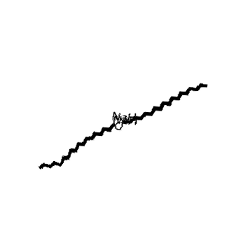 CCCCCCCCCCCCCCCCCCOCCCCCCCCCCCCCCCCCC.[NaH].[NaH]